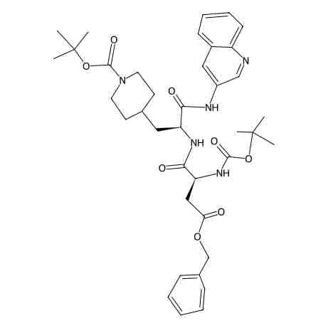 CC(C)(C)OC(=O)N[C@@H](CC(=O)OCc1ccccc1)C(=O)N[C@@H](CC1CCN(C(=O)OC(C)(C)C)CC1)C(=O)Nc1cnc2ccccc2c1